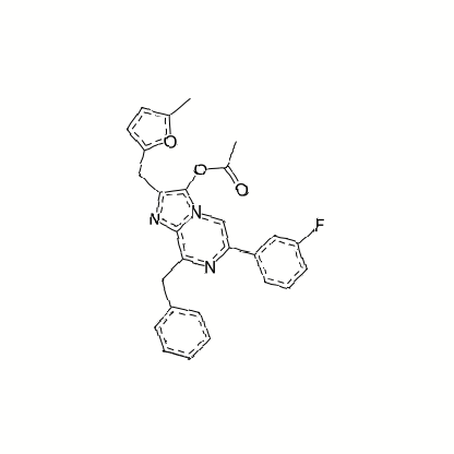 CC(=O)Oc1c(Cc2ccc(C)o2)nc2c(Cc3ccccc3)nc(-c3cccc(F)c3)cn12